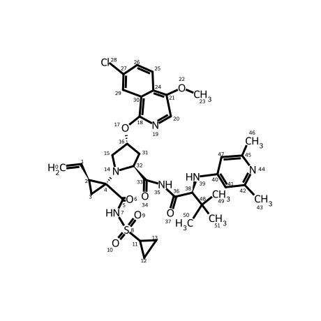 C=C[C@@H]1C[C@@]1(C(=O)NS(=O)(=O)C1CC1)N1C[C@H](Oc2ncc(OC)c3ccc(Cl)cc23)C[C@H]1C(=O)NC(=O)[C@@H](Nc1cc(C)nc(C)c1)C(C)(C)C